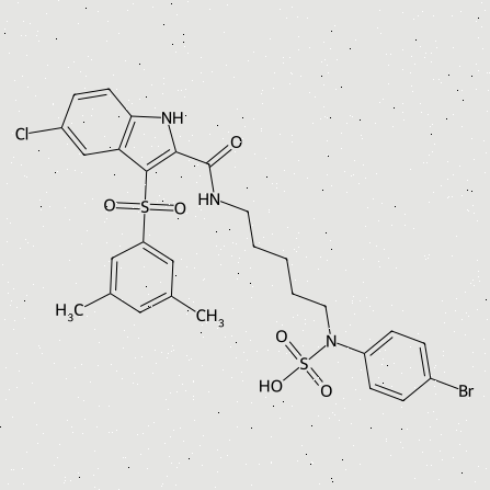 Cc1cc(C)cc(S(=O)(=O)c2c(C(=O)NCCCCCN(c3ccc(Br)cc3)S(=O)(=O)O)[nH]c3ccc(Cl)cc23)c1